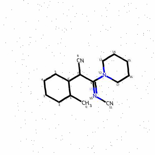 CC1CCCCC1C(C#N)/C(=N/C#N)N1CCCCC1